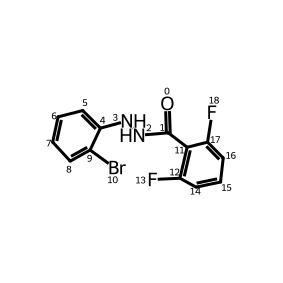 O=C(NNc1ccccc1Br)c1c(F)cccc1F